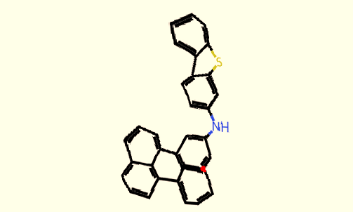 c1ccc(-c2cccc3cccc(-c4cccc(Nc5ccc6c(c5)sc5ccccc56)c4)c23)cc1